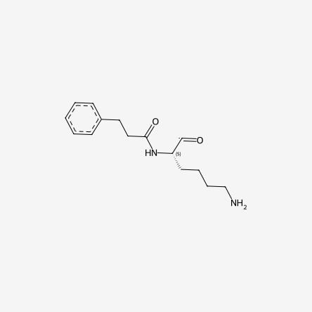 NCCCC[C@@H]([C]=O)NC(=O)CCc1ccccc1